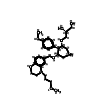 COCCCN1CCOc2ccc(CO[C@H]3CNC[C@@H](OC[C@H](O)CO)[C@@H]3c3ccc(OC)cc3)cc21